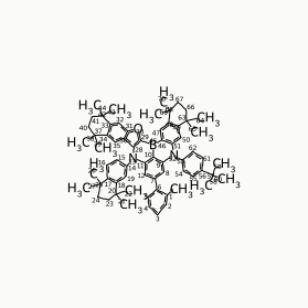 Cc1ccccc1-c1cc2c3c(c1)N(c1ccc4c(c1)C(C)(C)CCC4(C)C)c1c(oc4cc5c(cc14)C(C)(C)CCC5(C)C)B3c1cc3c(cc1N2c1ccc(C(C)(C)C)cc1)C(C)(C)CCC3(C)C